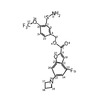 NSc1cc(COC(=O)c2cc3c(F)cc(N4CCC4)cc3o2)ccc1OC(F)(F)F